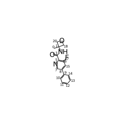 CC1(NC(=O)c2ncc(-c3ccccc3)cc2F)COC1